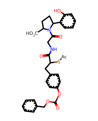 CC(=O)SC(Cc1ccc(OC(=O)OCc2ccccc2)cc1)C(=O)NCC(=O)N1C(C(=O)O)CCC1c1ccccc1O